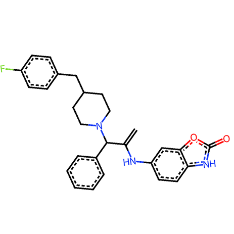 C=C(Nc1ccc2[nH]c(=O)oc2c1)C(c1ccccc1)N1CCC(Cc2ccc(F)cc2)CC1